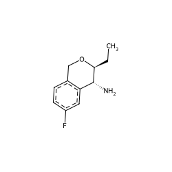 CC[C@@H]1OCc2ccc(F)cc2[C@H]1N